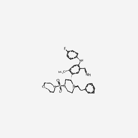 Cc1cc(Nc2ccc(F)cc2)c(C=N)cc1[C@H]1CN(S(=O)(=O)N2CCOCC2)CCN1CCc1ccccc1